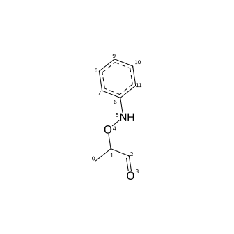 CC(C=O)ONc1ccccc1